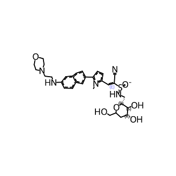 Cn1c(/C=C(\C#N)[S+]([O-])NC[C@H]2OC(CO)C[C@@H](O)[C@@H]2O)ccc1-c1ccc2cc(NCCN3CCOCC3)ccc2c1